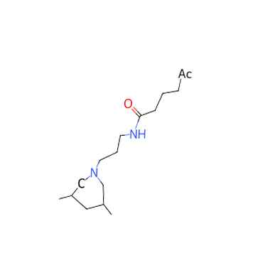 CC(=O)CCCC(=O)NCCCN1CC(C)CC(C)C1